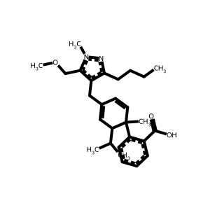 CCCCc1nn(C)c(COC)c1CC1=CC(C(C)C)C(C)(c2ccccc2C(=O)O)C=C1